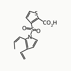 C=Cc1ccn(S(=O)(=O)c2ccsc2C(=O)O)c1/C=C\C